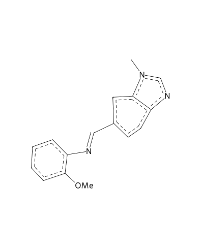 COc1ccccc1/N=C/c1ccc2ncn(C)c2c1